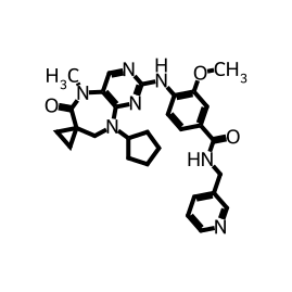 COc1cc(C(=O)NCc2cccnc2)ccc1Nc1ncc2c(n1)N(C1CCCC1)CC1(CC1)C(=O)N2C